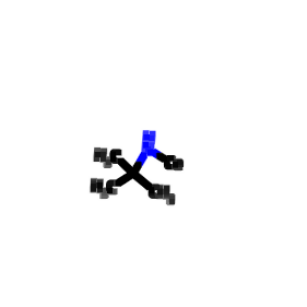 CC(C)(C)[NH][Ce]